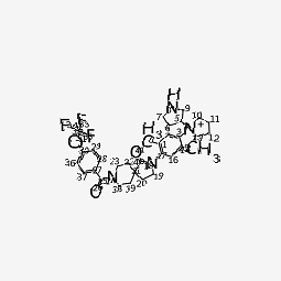 Cc1cc([N+]2([C@H]3CCNC3)CCC[C@H]2C)ccc1N1CCC2(CCN(C(=O)c3ccc(OC(F)(F)F)cc3)CC2)C1=O